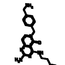 CCCCNc1nc(N)nc2ccn(Cc3ccc(CN)cc3)c(=O)c12